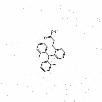 Cc1ccccc1P(c1ccccc1C)c1ccccc1CCC(=O)O